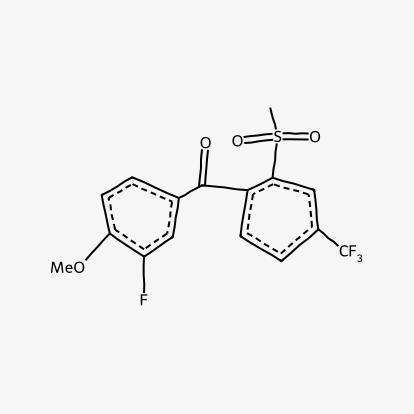 COc1ccc(C(=O)c2ccc(C(F)(F)F)cc2S(C)(=O)=O)cc1F